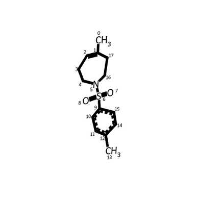 CC1=CCCN(S(=O)(=O)c2ccc(C)cc2)CC1